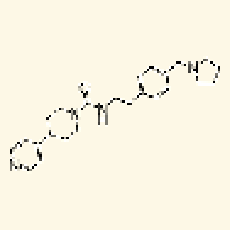 O=C(NCCc1ccc(CN2CCCC2)cc1)N1CCC(c2ccncc2)CC1